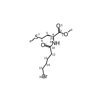 COC(=O)[C@H](CCSC)NC(=O)CCCCBr